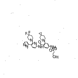 Cn1nccc1-c1ccc(NC(=O)c2ccc(NS(=O)(=O)CCO)cc2N2CCC3(CC2)CC3)nc1N1CCC(F)(F)CC1